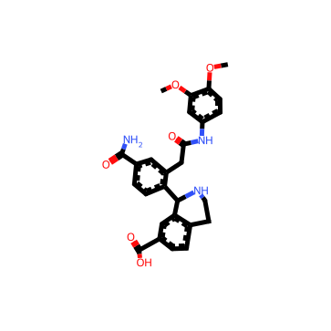 COc1ccc(NC(=O)Cc2cc(C(N)=O)ccc2C2NCCc3ccc(C(=O)O)cc32)cc1OC